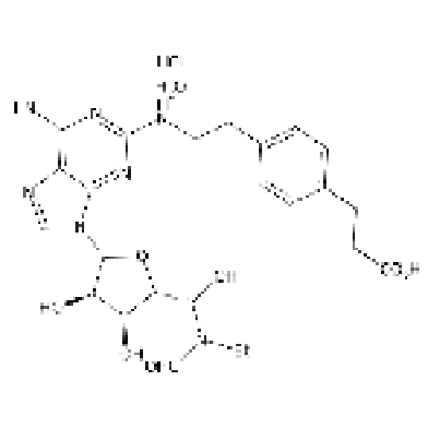 CCN(C=O)C(O)[C@H]1O[C@@H](n2cnc3c(N)nc(NCCc4ccc(CCC(=O)O)cc4)nc32)[C@H](O)[C@@H]1O.Cl.O